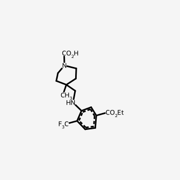 CCOC(=O)c1ccc(C(F)(F)F)c(NCC2(C)CCN(C(=O)O)CC2)c1